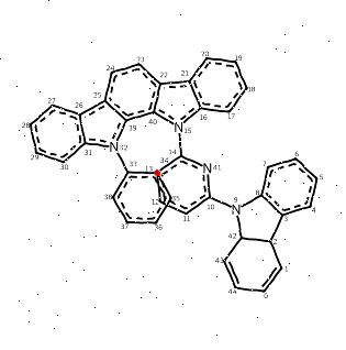 C1=CC2c3ccccc3N(c3cccc(-n4c5ccccc5c5ccc6c7ccccc7n(-c7ccccc7)c6c54)n3)C2C=C1